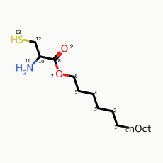 CCCCCCCCCCCCCCOC(=O)C(N)CS